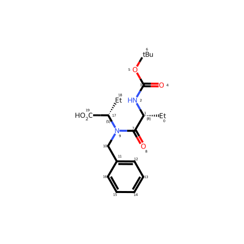 CC[C@@H](NC(=O)OC(C)(C)C)C(=O)N(Cc1ccccc1)[C@@H](CC)C(=O)O